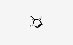 CC1OC=CO1